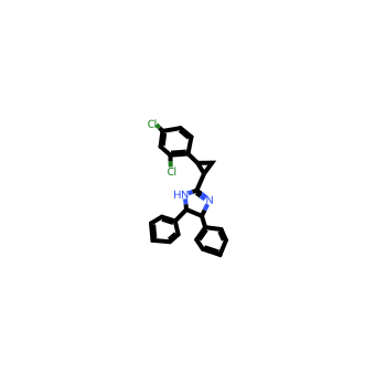 Clc1ccc(C2CC2C2=NC(c3ccccc3)C(c3ccccc3)N2)c(Cl)c1